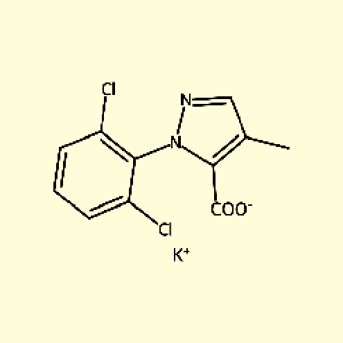 Cc1cnn(-c2c(Cl)cccc2Cl)c1C(=O)[O-].[K+]